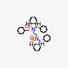 CP1(=O)[C@@H]2C=CC=C[C@@H]2[C@@H](c2ccccc2)N1CCN1[C@H](c2ccccc2)[C@H]2C=CC=C[C@H]2[P@]1(=O)Cc1ccccc1